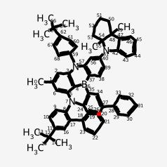 Cc1cc2c3c(c1)N(c1ccc(C(C)(C)C)cc1-c1ccccc1)c1ccc(-c4ccccc4)cc1B3c1ccc(N3c4ccccc4C4(C)CCCCC34C)cc1N2c1ccc(C(C)(C)C)cc1